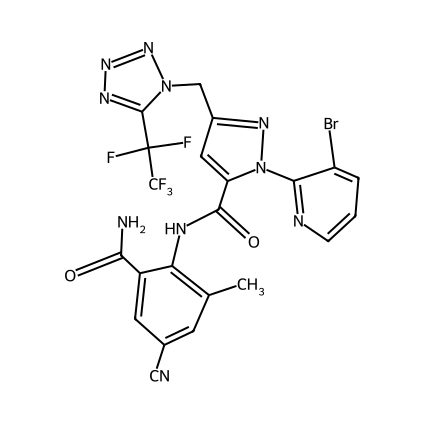 Cc1cc(C#N)cc(C(N)=O)c1NC(=O)c1cc(Cn2nnnc2C(F)(F)C(F)(F)F)nn1-c1ncccc1Br